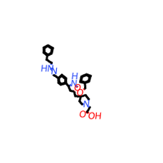 O=C(O)CN1CCC(CC2CC(c3ccc(C=NNCCc4ccccc4)cc3)NO2)(OCc2ccccc2)CC1